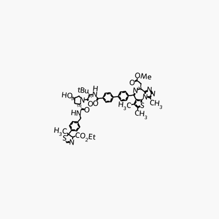 CCOC(=O)C1N=CSC1(C)c1ccc(CNC(=O)[C@@H]2C[C@@H](O)CN2C(=O)[C@@H](NC(=O)c2ccc(-c3ccc(C4=N[C@@H](CC(=O)OC)c5nnc(C)n5-c5sc(C)c(C)c54)cc3)cc2)C(C)(C)C)cc1